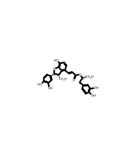 O=C(/C=C/c1ccc(O)c2c1[C@H](C(=O)O)[C@@H](c1ccc(O)c(O)c1)O2)O[C@H](Cc1ccc(O)c(O)c1)C(=O)O